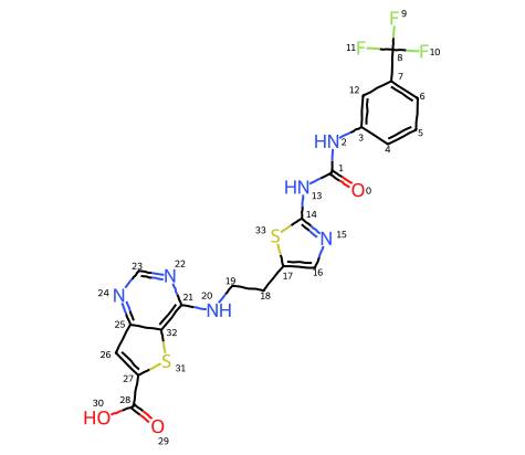 O=C(Nc1cccc(C(F)(F)F)c1)Nc1ncc(CCNc2ncnc3cc(C(=O)O)sc23)s1